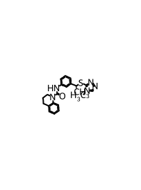 C[C@H](Sc1nncn1C)c1cccc(NC(=O)N2CCCc3ccccc32)c1